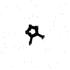 Fc1nboc1F